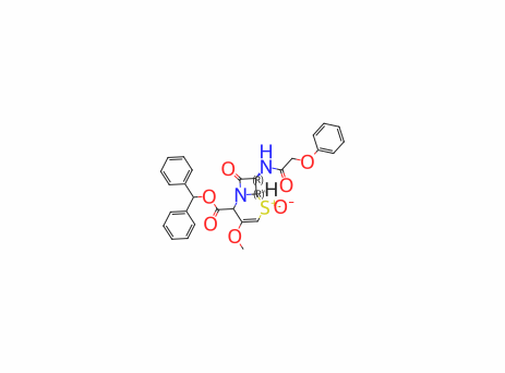 COC1=C[S+]([O-])[C@@H]2[C@H](NC(=O)COc3ccccc3)C(=O)N2C1C(=O)OC(c1ccccc1)c1ccccc1